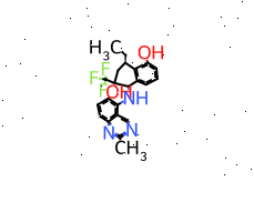 CC[C@@H]1CC(O)(C(F)(F)F)[C@@H](Nc2cccc3nc(C)ncc23)c2cccc(O)c21